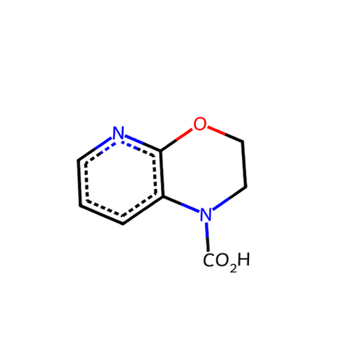 O=C(O)N1CCOc2ncccc21